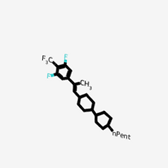 CCCCCC1CCC(C2CCC(/C=C(\C)c3cc(F)c(C(F)(F)F)c(F)c3)CC2)CC1